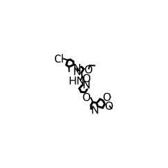 CCOc1cn(-c2ccc(Cl)cc2C)nc1C(=O)Nc1ccc(OCc2ccnc3cc(OC)c(OC)cc23)cn1